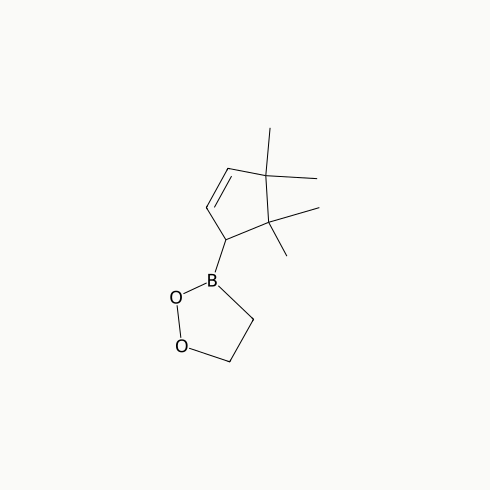 CC1(C)C=CC(B2CCOO2)C1(C)C